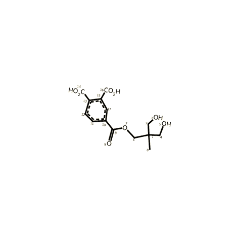 CC(CO)(CO)COC(=O)c1ccc(C(=O)O)c(C(=O)O)c1